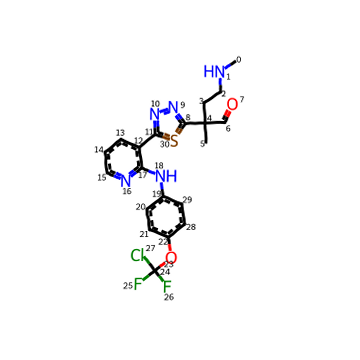 CNCCC(C)(C=O)c1nnc(-c2cccnc2Nc2ccc(OC(F)(F)Cl)cc2)s1